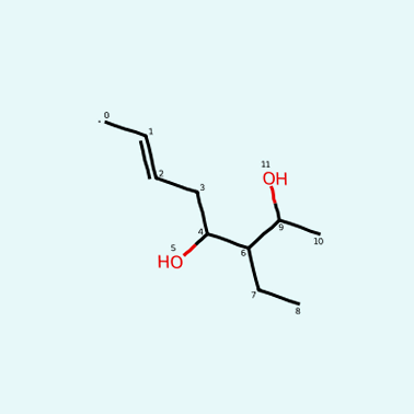 [CH2]C=CCC(O)C(CC)C(C)O